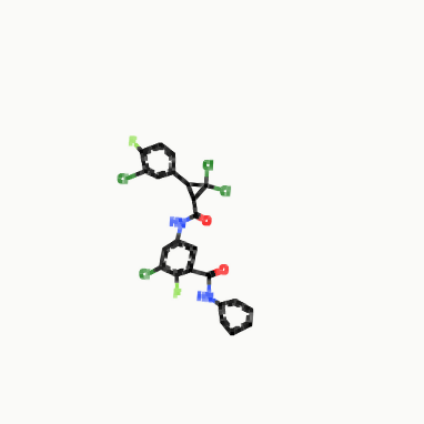 O=C(Nc1ccccc1)c1cc(NC(=O)C2C(c3ccc(F)c(Cl)c3)C2(Cl)Cl)cc(Cl)c1F